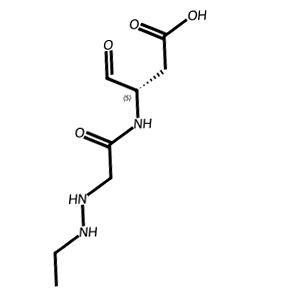 CCNNCC(=O)N[C@H](C=O)CC(=O)O